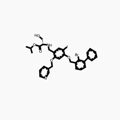 CC(C)OC(=O)[C@H](CO)NCc1cc(I)c(OCc2cccc(-c3ccccc3)c2Br)cc1OCc1cccnc1